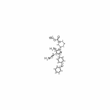 CC(C)(C)OC(=O)N1CCCC(n2nc(-c3ccc(Oc4ccccc4)cc3)c(C#CN)c2N)C1